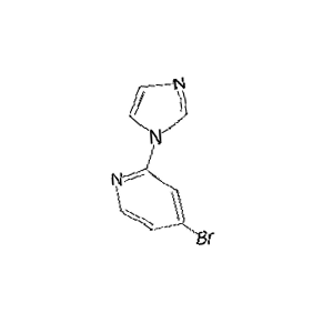 Brc1ccnc(-n2ccnc2)c1